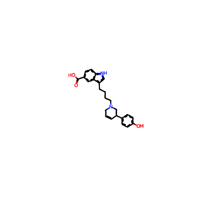 O=C(O)c1ccc2[nH]cc(CCCCN3CC=CC(c4ccc(O)cc4)C3)c2c1